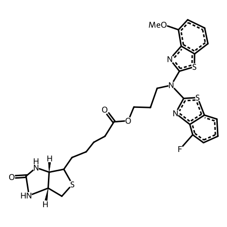 COc1cccc2sc(N(CCCOC(=O)CCCCC3SC[C@@H]4NC(=O)N[C@H]34)c3nc4c(F)cccc4s3)nc12